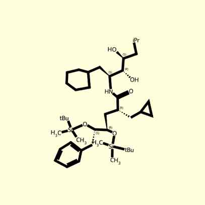 CC(C)C[C@H](O)[C@H](O)[C@H](CC1CCCCC1)NC(=O)[C@H](CC1CC1)C[C@@H](O[Si](C)(C)C(C)(C)C)[C@H](Cc1ccccc1)O[Si](C)(C)C(C)(C)C